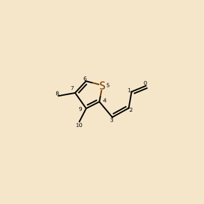 C=C/C=C\c1scc(C)c1C